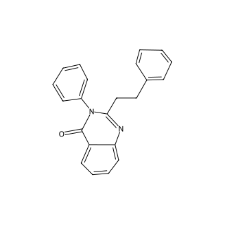 O=c1c2ccccc2nc(CCc2ccccc2)n1-c1ccccc1